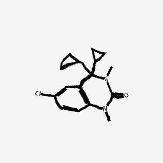 CN1C(=O)N(C)C(C2CC2)(C2CC2)c2cc(Cl)ccc21